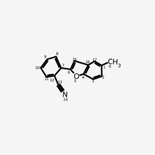 Cc1ccc2oc(-c3ccccc3C#N)cc2c1